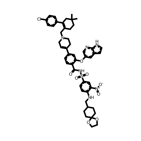 CC1(C)CCC(CN2CC=C(c3ccc(C(=O)NS(=O)(=O)c4ccc(NCC5CCC6(CC5)OCCO6)c([N+](=O)[O-])c4)c(Oc4cnc5[nH]ccc5c4)c3)CC2)=C(c2ccc(Cl)cc2)C1